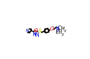 CN(C)CCOc1ccc(CSc2nnc(-c3ccncc3)o2)cc1